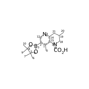 Cc1c(B2OC(C)(C)C(C)(C)O2)cnc2c1N(C(=O)O)CC(C)C2